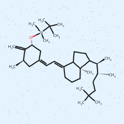 C=C1[C@H](C)C/C(=C/C=C2\CCC[C@@]3(C)C2CCC3[C@@H](C)[C@H](C)CCC(C)(C)C)C[C@H]1O[Si](C)(C)C(C)(C)C